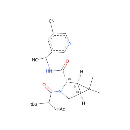 CC(=O)NC(C(=O)N1C[C@H]2[C@@H]([C@H]1C(=O)NC(C#N)c1cncc(C#N)c1)C2(C)C)C(C)(C)C